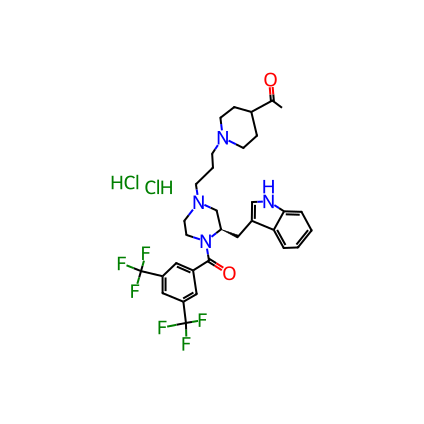 CC(=O)C1CCN(CCCN2CCN(C(=O)c3cc(C(F)(F)F)cc(C(F)(F)F)c3)[C@H](Cc3c[nH]c4ccccc34)C2)CC1.Cl.Cl